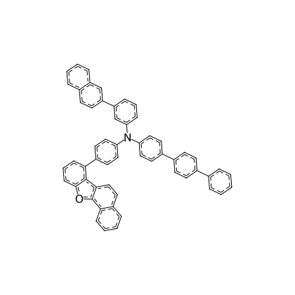 c1ccc(-c2ccc(-c3ccc(N(c4ccc(-c5cccc6oc7c8ccccc8ccc7c56)cc4)c4cccc(-c5ccc6ccccc6c5)c4)cc3)cc2)cc1